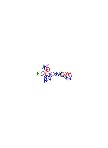 CCN(C(=O)c1cc(F)ccc1Oc1nncnc1N1CCC2(C1)CN([C@H](C[C@@H](O)CN(C)C(C)C)C(C)C)C2)C(C)C